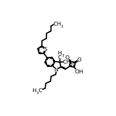 CCCCCCc1ccc(-c2ccc3c(c2)C(C)(C)/C(=C\c2c(O)c(=O)c2=O)N3CCCCCC)s1